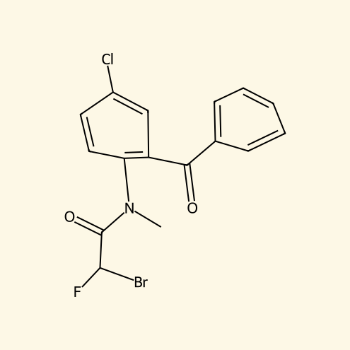 CN(C(=O)C(F)Br)c1ccc(Cl)cc1C(=O)c1ccccc1